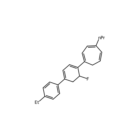 CCCC1=CC=C(C2=CC=C(c3ccc(CC)cc3)CC2F)CC=C1